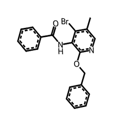 Cc1cnc(OCc2ccccc2)c(NC(=O)c2ccccc2)c1Br